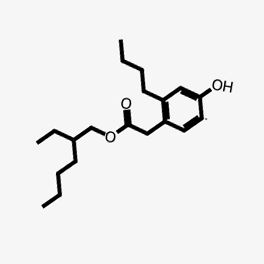 CCCCc1cc(O)[c]cc1CC(=O)OCC(CC)CCCC